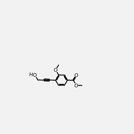 COC(=O)c1ccc(C#CCO)c(OC)c1